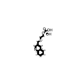 O=P(O)(O)OCCSCc1cnc2ccccc2c1